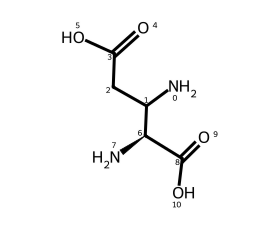 NC(CC(=O)O)[C@H](N)C(=O)O